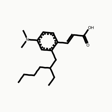 CCCCC(CC)Cc1cc(N(C)C)ccc1C=CC(=O)O